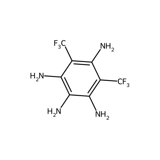 Nc1c(N)c(C(F)(F)F)c(N)c(C(F)(F)F)c1N